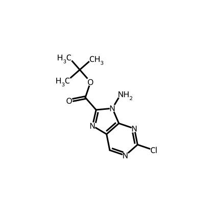 CC(C)(C)OC(=O)c1nc2cnc(Cl)nc2n1N